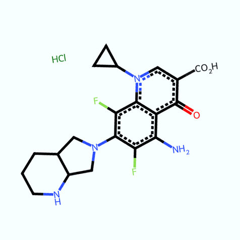 Cl.Nc1c(F)c(N2CC3CCCNC3C2)c(F)c2c1c(=O)c(C(=O)O)cn2C1CC1